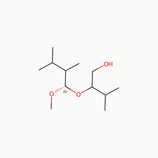 CO[C@@H](OC(CO)C(C)C)C(C)C(C)C